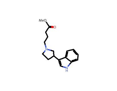 COC(=O)CCCN1CCC(c2c[nH]c3ccccc23)C1